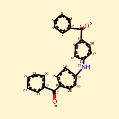 O=C(c1ccccc1)c1ccc(Nc2ccc(C(=O)c3ccccc3)cc2)cc1